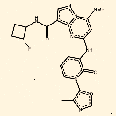 CNc1cc(Nc2cccn(-c3ocnc3C)c2=O)nc2c(C(=O)NC3CC[C@H]3F)cnn12